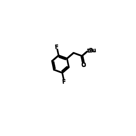 CC(C)(C)C(=O)Cc1cc(F)ccc1F